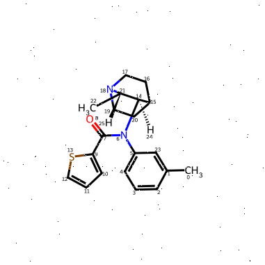 Cc1cccc(N(C(=O)c2cccs2)[C@@H]2C3CCN(CC3)[C@H]2C)c1